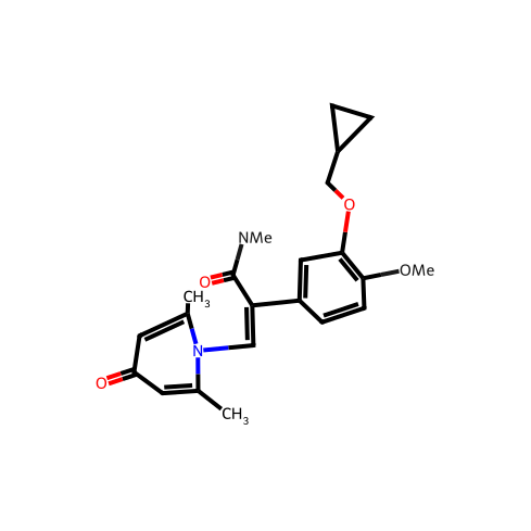 CNC(=O)/C(=C\n1c(C)cc(=O)cc1C)c1ccc(OC)c(OCC2CC2)c1